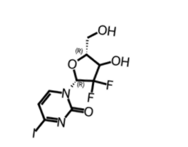 O=c1nc(I)ccn1[C@@H]1O[C@H](CO)C(O)C1(F)F